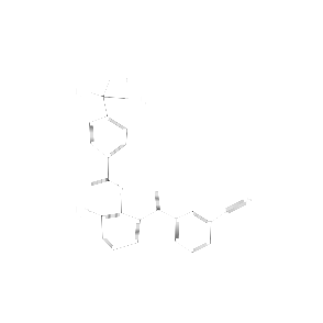 CC(C)(C)c1ccc(C(=O)Nc2c(N)cccc2C(=O)c2cccc(C#N)c2)cc1